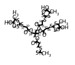 CC(=S)SCCC(=O)OCC(COC(=O)CCSC(=S)SC(C)C(=O)O)(COC(=O)CCSC(=S)SC(C)C(=O)O)COC(=O)CCSC(=S)SC(C)C(=O)O